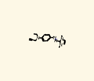 C#CCN(CC)c1ccc(/N=N/c2n(C)cc[n+]2C)cc1